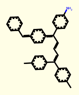 Cc1ccc(C(=CC=CC(c2ccc(N)cc2)=c2ccc(=Cc3ccccc3)cc2)c2ccc(C)cc2)cc1